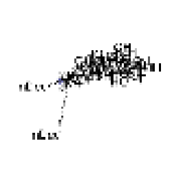 CCCCCCCCCCCCC/C=C/[C@@H](O)[C@H](CO[C@@H]1OC(CO)[C@@H](O[C@@H]2OC(CO)[C@H](O[C@@H]3OC(CO)[C@H](O)[C@H](O[C@@H]4OC(CO)[C@H](O)[C@H](O[C@]5(C(=O)O)CC(O)[C@@H](NC(=O)CO)C([C@H](O)[C@H](O)CO)O5)C4O)C3NC(C)=O)[C@H](O)C2O)[C@H](O)C1O)NC(=O)CCCCCCCCCCCCCCCCCCCCCCC